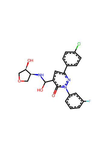 O=c1c(C(O)N[C@H]2COC[C@H]2O)cc(-c2ccc(Cl)cc2)nn1-c1cccc(F)c1